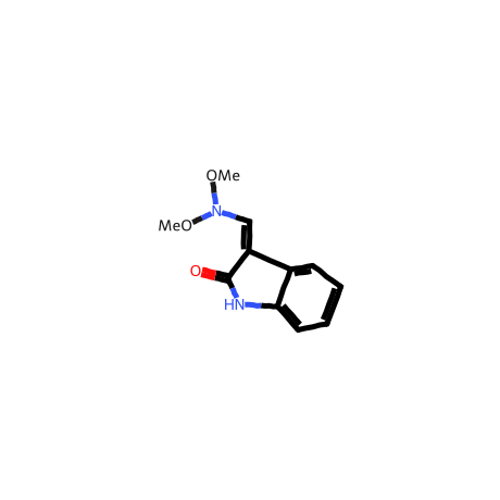 CON(C=C1C(=O)Nc2ccccc21)OC